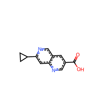 O=C(O)c1cnc2cc(C3CC3)ncc2c1